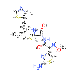 CCON=C(C(=O)NC1C(=O)N2CC(C=Cc3scnc3C)(C(=O)O)CS[C@H]12)c1csc(N)n1